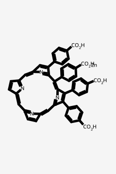 O=C(O)c1ccc(C2=CC3=CC4=NC(=CC5=NC(=CC6=NC(=C(c7ccc(C(=O)O)cc7)C2=N3)C(c2ccc(C(=O)O)cc2)=C6c2ccc(C(=O)O)cc2)C=C5)C=C4)cc1.[Zn]